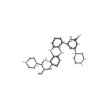 CCCCC(Nc1ccc2c(c1)Sc1cccc(-c3cc(N4CCOCC4)cc(=O)[nH]3)c1S2)[C@H](C)N1CCOCC1